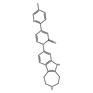 Cc1ccc(-c2ccn(-c3ccc4c5c([nH]c4c3)CCNCC5)c(=O)c2)nc1